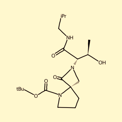 CC(C)CNC(=O)[C@H]([C@@H](C)O)N1C[C@@]2(CCCN2C(=O)OC(C)(C)C)C1=O